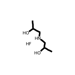 CC(O)CNCC(C)O.F